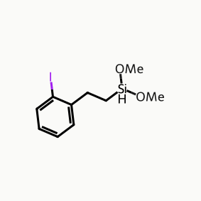 CO[SiH](CCc1ccccc1I)OC